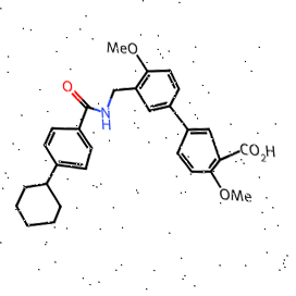 COc1ccc(-c2ccc(OC)c(C(=O)O)c2)cc1CNC(=O)c1ccc(C2CCCCC2)cc1